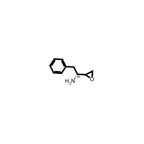 N[C@H](Cc1ccccc1)C1CO1